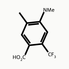 CNc1cc(C(F)(F)F)c(C(=O)O)cc1C